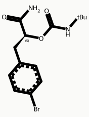 CC(C)(C)NC(=O)O[C@@H](Cc1ccc(Br)cc1)C(N)=O